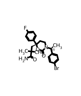 C[C@@H](c1ccc(Br)cc1)N1CC[C@@](CC(C)(C)C(N)=O)(c2ccc(F)cc2)OC1=O